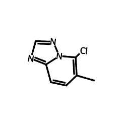 Cc1ccc2ncnn2c1Cl